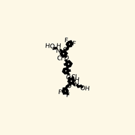 Cc1c(COc2cc(OCc3cc(F)cc(F)c3)c(CNCCO)cc2Cl)cccc1-c1cccc(COc2cc(OCc3cc(F)cc(F)c3)c(CNCCO)cc2Cl)c1C